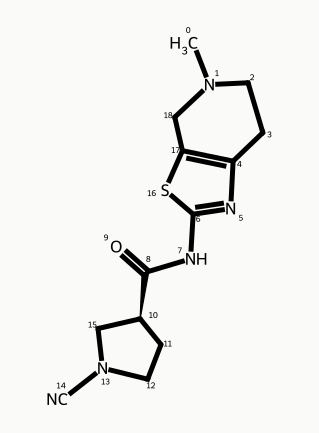 CN1CCc2nc(NC(=O)[C@H]3CCN(C#N)C3)sc2C1